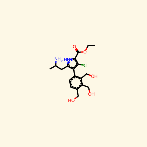 CCOC(=O)c1[nH]c(CC(C)N)c(-c2ccc(CO)c(CO)c2CO)c1Cl